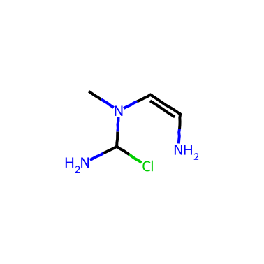 CN(/C=C\N)C(N)Cl